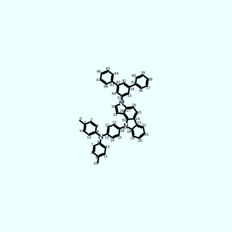 Cc1ccc(N(c2ccc(C)cc2)c2ccc(-n3c4ccccc4c4ccc5c(ccn5-c5cc(-c6ccccc6)cc(-c6ccccc6)c5)c43)cc2)cc1